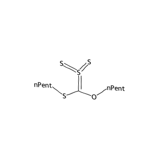 CCCCCOC(SCCCCC)=S(=S)=S